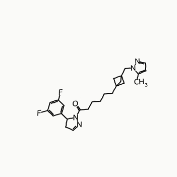 Cc1ccnn1CC12CC(CCCCCC(=O)N3N=CCC3c3cc(F)cc(F)c3)(C1)C2